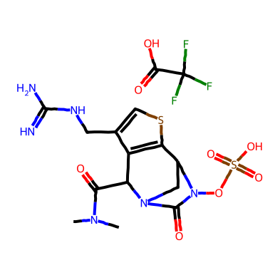 CN(C)C(=O)C1c2c(CNC(=N)N)csc2C2CN1C(=O)N2OS(=O)(=O)O.O=C(O)C(F)(F)F